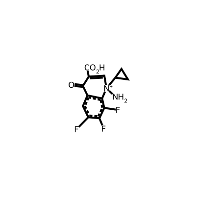 N[N+]1(C2CC2)C=C(C(=O)O)C(=O)c2cc(F)c(F)c(F)c21